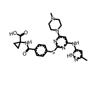 Cc1cc(Nc2cc(N3CCN(C)CC3)nc(Sc3ccc(C(=O)NC4(C(=O)O)CC4)cc3)n2)[nH]n1